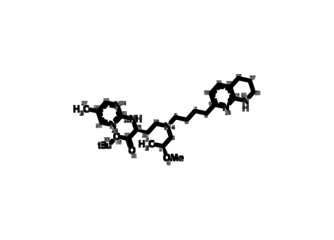 CO[C@@H](C)CN(CCCCc1ccc2c(n1)NCCC2)CC[C@H](Nc1ncc(C)cn1)C(=O)OC(C)(C)C